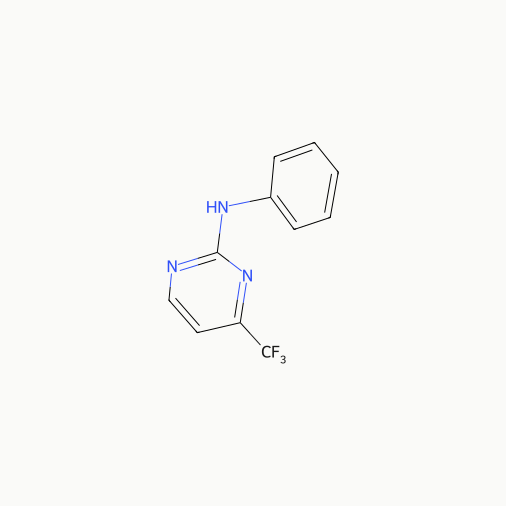 FC(F)(F)c1ccnc(Nc2ccccc2)n1